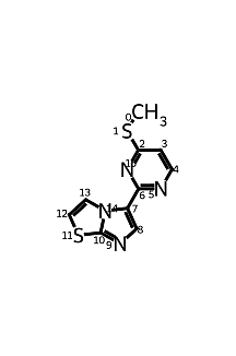 CSc1ccnc(-c2cnc3sccn23)n1